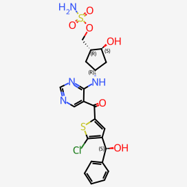 NS(=O)(=O)OC[C@H]1C[C@@H](Nc2ncncc2C(=O)c2cc([C@@H](O)c3ccccc3)c(Cl)s2)C[C@@H]1O